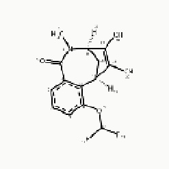 CN1C(=O)c2cccc(OC(F)F)c2[C@H]2C[C@@H]1C(O)=C2C#N